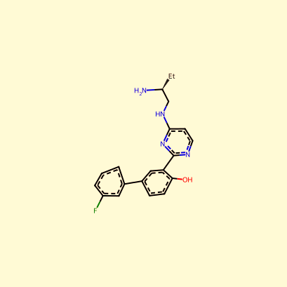 CC[C@H](N)CNc1ccnc(-c2cc(-c3cccc(F)c3)ccc2O)n1